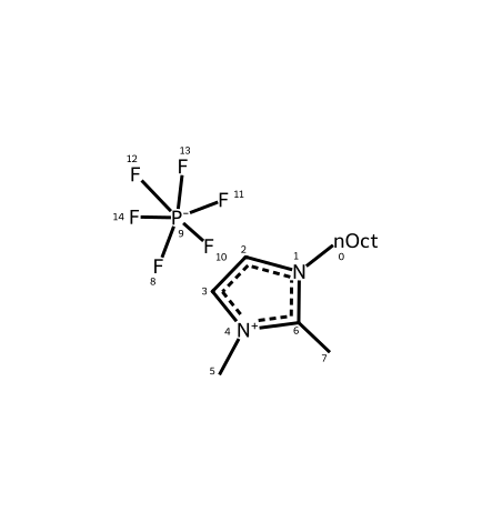 CCCCCCCCn1cc[n+](C)c1C.F[P-](F)(F)(F)(F)F